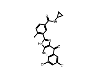 Cc1ccc(C(=O)NC2CC2)cc1-c1nc(C(=O)c2cc(Cl)cc(Cl)c2)c(N)[nH]1